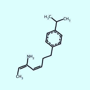 C/C=C(N)\C=C/CCc1ccc(C(C)C)cc1